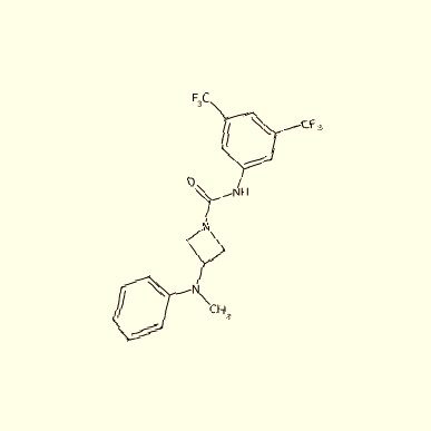 CN(c1ccccc1)C1CN(C(=O)Nc2cc(C(F)(F)F)cc(C(F)(F)F)c2)C1